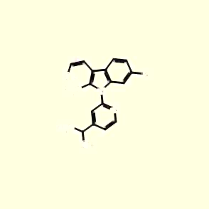 C/C=C\c1c(C)n(-c2cc(C(C)C)ccn2)c2cc(Br)ccc12